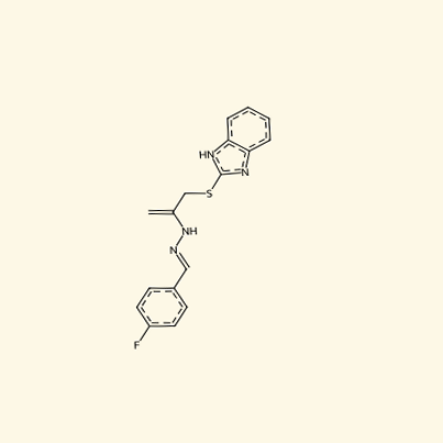 C=C(CSc1nc2ccccc2[nH]1)N/N=C/c1ccc(F)cc1